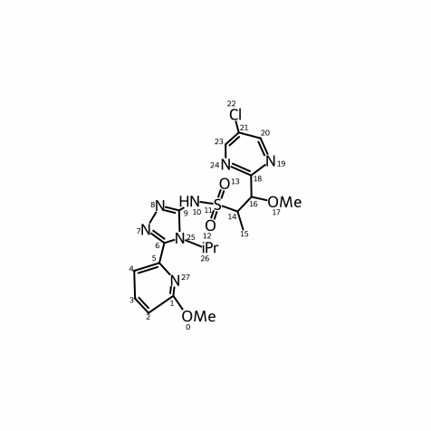 COc1cccc(-c2nnc(NS(=O)(=O)C(C)C(OC)c3ncc(Cl)cn3)n2C(C)C)n1